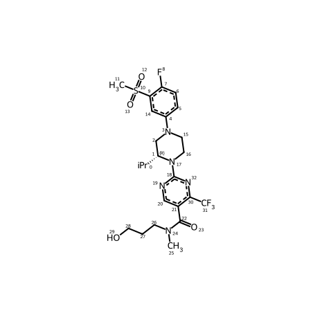 CC(C)[C@@H]1CN(c2ccc(F)c(S(C)(=O)=O)c2)CCN1c1ncc(C(=O)N(C)CCCO)c(C(F)(F)F)n1